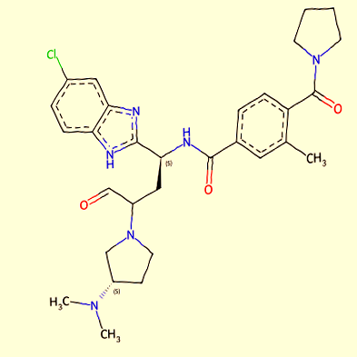 Cc1cc(C(=O)N[C@@H](CC(C=O)N2CC[C@H](N(C)C)C2)c2nc3cc(Cl)ccc3[nH]2)ccc1C(=O)N1CCCC1